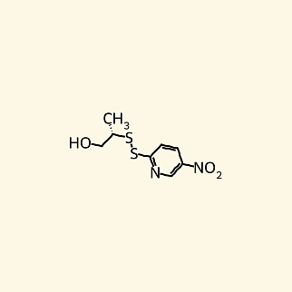 C[C@@H](CO)SSc1ccc([N+](=O)[O-])cn1